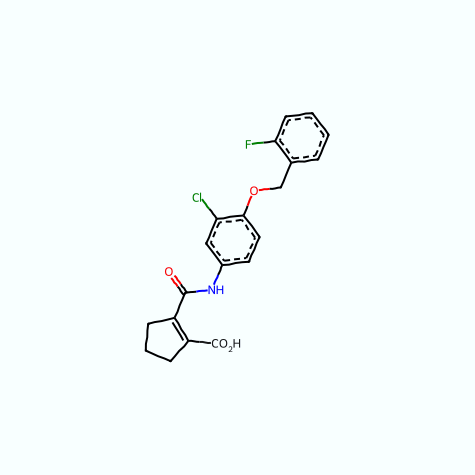 O=C(O)C1=C(C(=O)Nc2ccc(OCc3ccccc3F)c(Cl)c2)CCC1